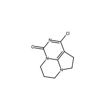 O=c1nc(Cl)c2c3n1CCCN3CC2